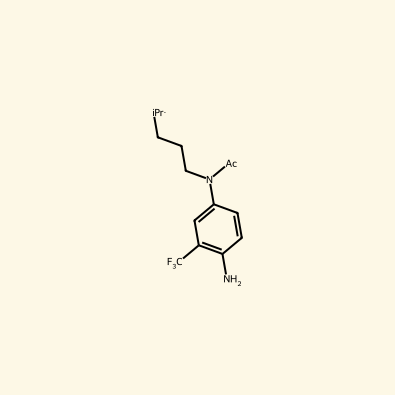 C[C](C)CCCN(C(C)=O)c1ccc(N)c(C(F)(F)F)c1